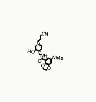 CNc1cc2c(c(C(=O)NC[C@@H]3CCN(CCCC#N)CC3O)c1)OCCO2